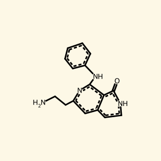 NCCc1cc2cc[nH]c(=O)c2c(Nc2ccccc2)n1